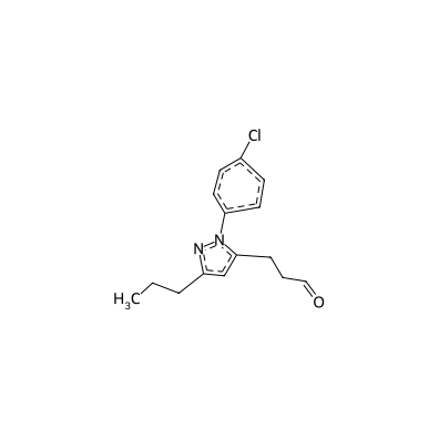 CCCc1cc(CCC=O)n(-c2ccc(Cl)cc2)n1